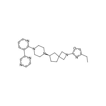 CCc1coc(N2CC3(CC[C@@H](N4CCN(c5ncccc5-c5cnccn5)CC4)C3)C2)n1